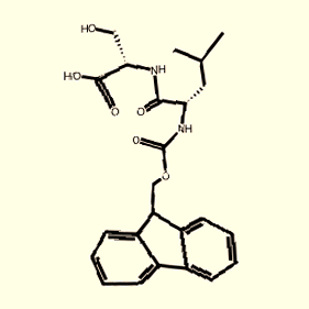 CC(C)C[C@H](NC(=O)OCC1c2ccccc2-c2ccccc21)C(=O)N[C@@H](CO)C(=O)O